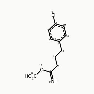 N=C(CCCc1ccc(Cl)cc1)OC(=O)O